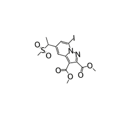 COC(=O)c1nn2c(I)cc(C(C)S(C)(=O)=O)cc2c1C(=O)OC